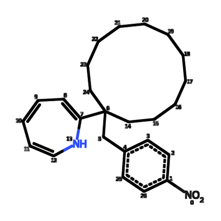 O=[N+]([O-])c1ccc(CC2(C3=CC=CC=CN3)CCCCCCCCCCC2)cc1